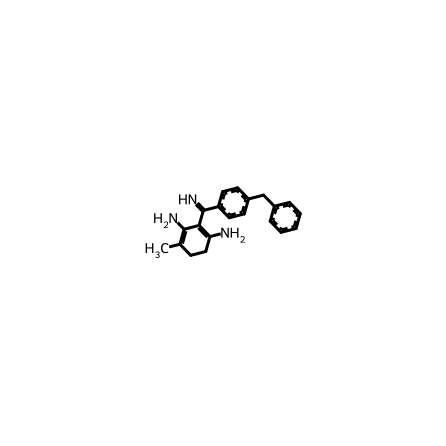 CC1=C(N)C(C(=N)c2ccc(Cc3ccccc3)cc2)=C(N)CC1